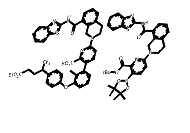 CC(C)(C)OC(=O)c1nc(N2CCc3cccc(C(=O)Nc4nc5ccccc5s4)c3C2)ccc1B1OC(C)(C)C(C)(C)O1.CCOC(=O)CCC(c1ccc(Oc2cccc(-c3ccc(N4CCc5cccc(C(=O)Nc6nc7ccccc7s6)c5C4)nc3C(=O)O)c2C)cc1)C(F)(F)F